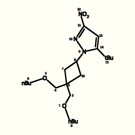 CCCCOCC1(COCCCC)CC(n2nc([N+](=O)[O-])cc2C(C)(C)C)C1